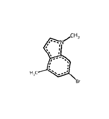 Cc1cc(Br)cc2c1ccn2C